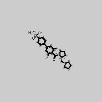 CS(=O)(=O)c1ccc(-c2cc(F)c(C(=O)N3CCC[C@H]3CN3CCCC3)c(F)c2)cc1